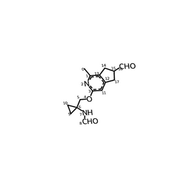 Cc1nc(OCC2(NC=O)CC2)cc2c1CC(C=O)C2